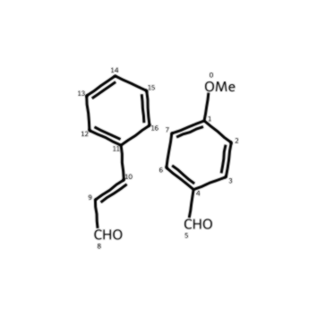 COc1ccc(C=O)cc1.O=CC=Cc1ccccc1